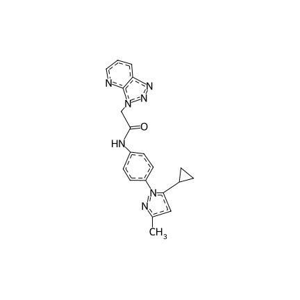 Cc1cc(C2CC2)n(-c2ccc(NC(=O)Cn3nnc4cccnc43)cc2)n1